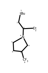 CCC(CC(C)(C)C)N1CCC(C(F)(F)F)C1